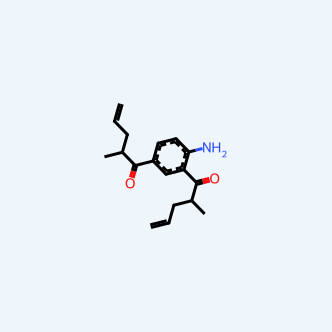 C=CCC(C)C(=O)c1ccc(N)c(C(=O)C(C)CC=C)c1